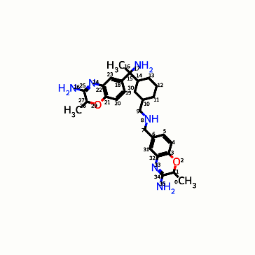 CC1Oc2ccc(CNCC3CCCC(C(C)(N)c4ccc5c(c4)N=C(N)C(C)O5)C3)cc2N=C1N